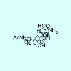 CC(=O)N[C@@H]1CCN(Cc2cc(O)c3c(c2Cl)CC2C[C@H]4CC(O)=C(C(N)=O)C(=O)[C@@]4(O)C(O)=C2C3=O)C1